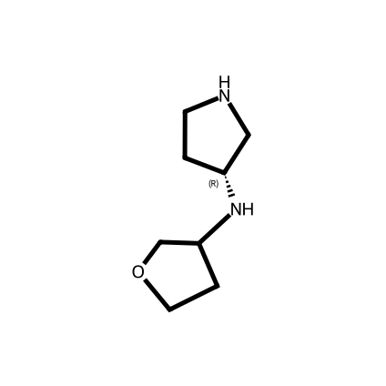 C1C[C@@H](NC2CCOC2)CN1